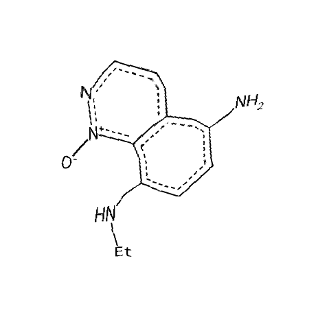 CCNc1ccc(N)c2ccn[n+]([O-])c12